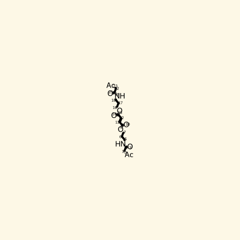 CC(=O)CC(=O)NCCCOC(=O)/C=C/C(=O)OCCCNC(=O)CC(C)=O